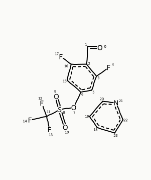 O=Cc1c(F)cc(OS(=O)(=O)C(F)(F)F)cc1F.c1ccncc1